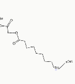 CCCCCCCC/C=C\CCCCCCCC(=O)OCC(=O)OC(C)(C)C